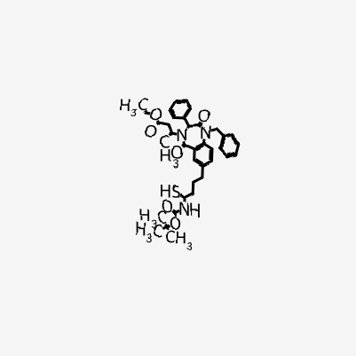 CCOC(=O)CC(C)N1C(=O)c2cc(CCCC(S)NC(=O)OC(C)(C)C)ccc2N(Cc2ccccc2)C(=O)C1c1ccccc1